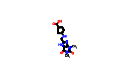 Cn1c(=O)c2[nH]c(CNc3ccc(C(=O)O)cc3)nc2n(C)c1=O